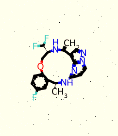 C=C1N[C@@H](C(F)F)COc2ccc(F)cc2[C@@H](C)Nc2ccn3ncc1c3n2